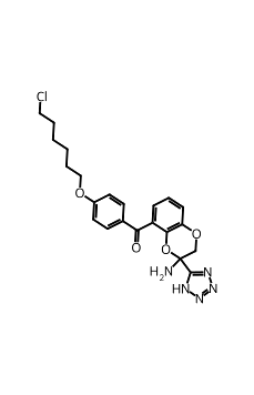 NC1(c2nnn[nH]2)COc2cccc(C(=O)c3ccc(OCCCCCCCl)cc3)c2O1